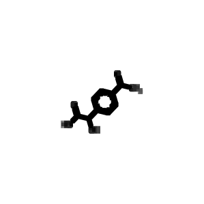 CC(=O)c1ccc(C(O)C(=O)O)cc1